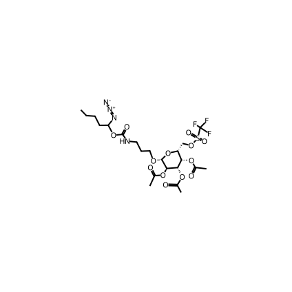 CCCCC(N=[N+]=[N-])OC(=O)NCCCO[C@@H]1O[C@H](COS(=O)(=O)C(F)(F)F)[C@H](OC(C)=O)[C@H](OC(C)=O)[C@H]1OC(C)=O